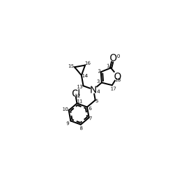 O=C1C=C(N(Cc2ccccc2Cl)CC2CC2)CO1